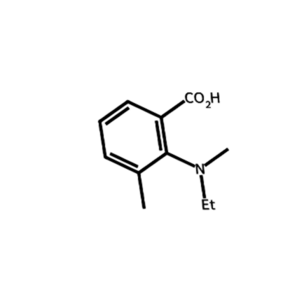 CCN(C)c1c(C)cccc1C(=O)O